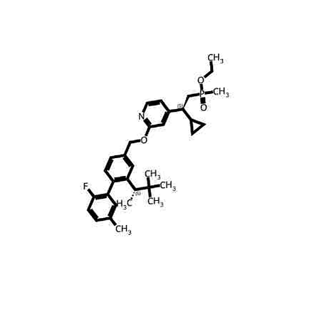 CCOP(C)(=O)C[C@H](c1ccnc(OCc2ccc(-c3cc(C)ccc3F)c([C@@H](C)C(C)(C)C)c2)c1)C1CC1